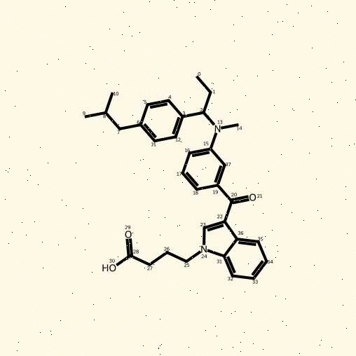 CCC(c1ccc(CC(C)C)cc1)N(C)c1cccc(C(=O)c2cn(CCCC(=O)O)c3ccccc23)c1